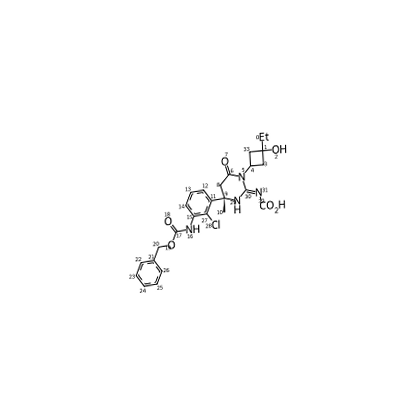 CCC1(O)CC(N2C(=O)C[C@@](C)(c3cccc(NC(=O)OCc4ccccc4)c3Cl)N/C2=N\C(=O)O)C1